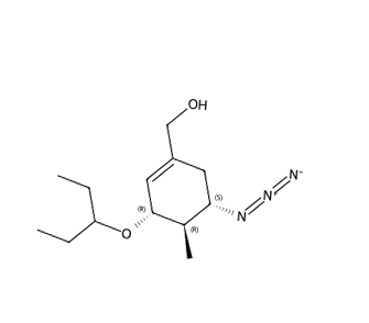 CCC(CC)O[C@@H]1C=C(CO)C[C@H](N=[N+]=[N-])[C@H]1C